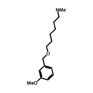 CNCCCCCCOCc1cccc(OC)c1